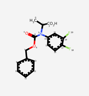 CC(C(=O)O)N(C(=O)OCc1ccccc1)c1ccc(F)c(F)c1